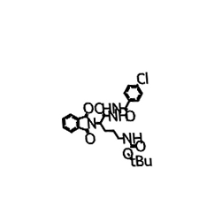 CC(C)(C)OC(=O)NCCCC(C(=O)NNC(=O)c1ccc(Cl)cc1)N1C(=O)c2ccccc2C1=O